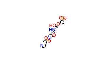 CS(=O)(=O)c1cccc(OC[C@@H](O)CNC2COC3(CCN(S(=O)(=O)c4ccc5ncccc5c4)CC3)C2)c1